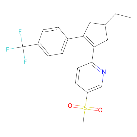 CCC1CC(c2ccc(C(F)(F)F)cc2)=C(c2ccc(S(C)(=O)=O)cn2)C1